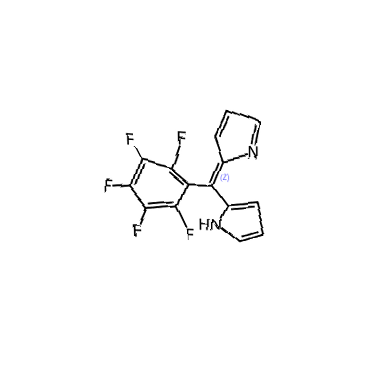 Fc1c(F)c(F)c(/C(=C2\C=CC=N2)c2ccc[nH]2)c(F)c1F